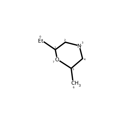 CCC1C[N]CC(C)O1